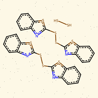 SS.c1ccc2sc(SSc3nc4ccccc4s3)nc2c1.c1ccc2sc(SSc3nc4ccccc4s3)nc2c1